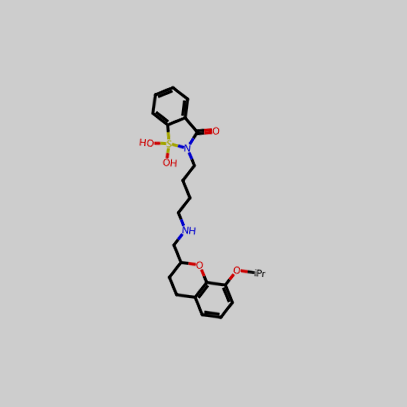 CC(C)Oc1cccc2c1OC(CNCCCCN1C(=O)c3ccccc3S1(O)O)CC2